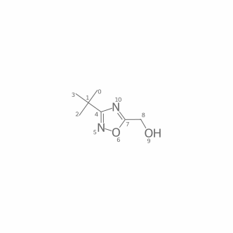 CC(C)(C)c1noc(CO)n1